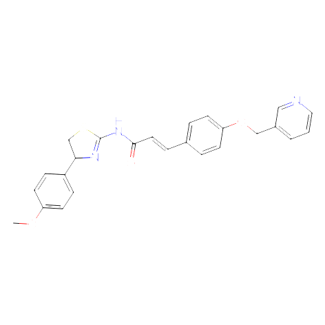 COc1ccc(C2CSC(NC(=O)/C=C/c3ccc(OCc4cccnc4)cc3)=N2)cc1